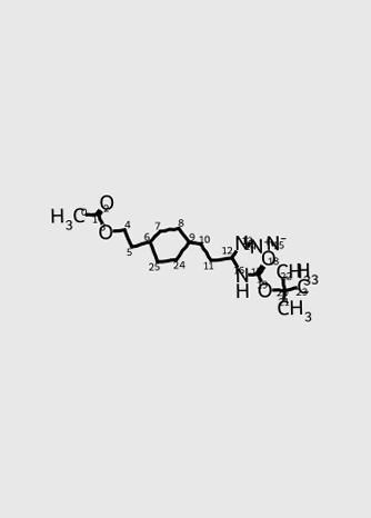 CC(=O)OCCC1CCC(CCC(N=[N+]=[N-])NC(=O)OC(C)(C)C)CC1